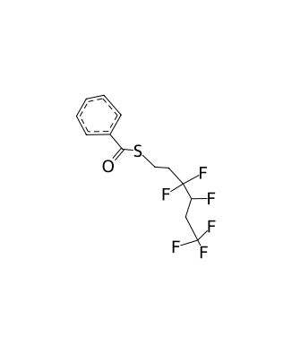 O=C(SCCC(F)(F)C(F)CC(F)(F)F)c1ccccc1